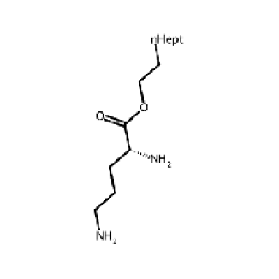 CCCCCCCCCOC(=O)[C@H](N)CCCN